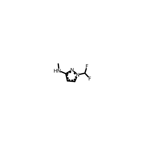 CNc1ccn(C(F)F)n1